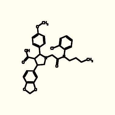 CCCCN(C(=O)CN1CC(c2ccc3c(c2)OCO3)C(C(=O)O)C1c1ccc(OC)cc1)c1ccccc1Cl